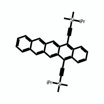 CC(C)[Si](C)(C)C#Cc1c2ccccc2c(C#C[Si](C)(C)C(C)C)c2cc3cc4ccccc4cc3cc12